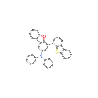 c1ccc(N(c2ccccc2)c2cc(-c3cccc4c3sc3ccccc34)c3oc4ccccc4c3c2)cc1